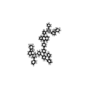 c1ccc(-c2nc(-c3cccc(-c4ccc(-c5ccccc5-c5ccccc5)cc4-c4ccc(-c5ccc(-c6c7ccccc7c(-c7cccc(-c8nc(-c9ccccc9)nc(-c9cccc%10c9oc9ccccc9%10)n8)c7)c7ccccc67)cc5)cc4)c3)nc(-c3cccc4c3oc3ccccc34)n2)cc1